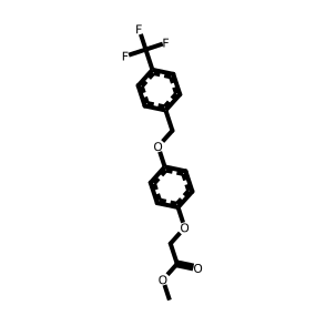 COC(=O)COc1ccc(OCc2ccc(C(F)(F)F)cc2)cc1